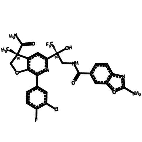 C[C@]1(C(N)=O)COc2c1cc([C@@](O)(CNC(=O)c1ccc3nc(N)oc3c1)C(F)(F)F)nc2-c1ccc(F)c(Cl)c1